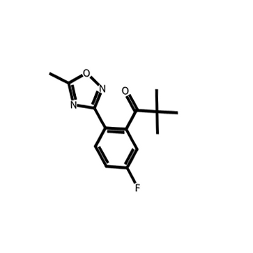 Cc1nc(-c2ccc(F)cc2C(=O)C(C)(C)C)no1